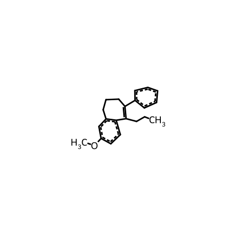 CCCC1=C(c2ccccc2)CCCc2cc(OC)ccc21